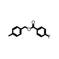 Cc1ccc(COC(=O)c2ccc(F)cc2)cc1